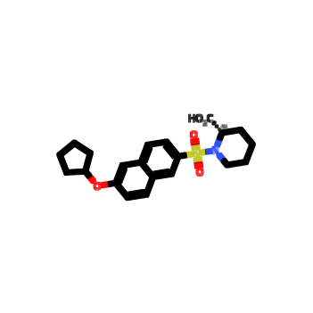 O=C(O)[C@@H]1CCCCN1S(=O)(=O)c1ccc2cc(OC3CCCC3)ccc2c1